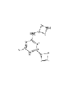 Cc1cc(NC2CNC2)nc(N2CCC2)n1